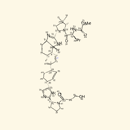 C=C(/C=C\[C@@H]1C(C)CCC2N=C([C@@H]3C[Si](C)(C)CN3C(=O)[C@@H](NC(=O)OC)C(C)C)N[C@@H]21)[C@@H]1C=C[C@H](c2cnc([C@@H]3CCCN3C(=O)CCO)[nH]2)CC1